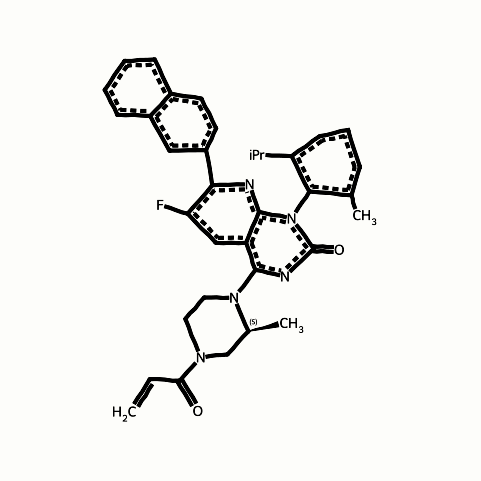 C=CC(=O)N1CCN(c2nc(=O)n(-c3c(C)cccc3C(C)C)c3nc(-c4ccc5ccccc5c4)c(F)cc23)[C@@H](C)C1